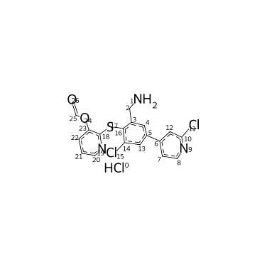 Cl.NCc1cc(-c2ccnc(Cl)c2)cc(Cl)c1Sc1ncccc1OC=O